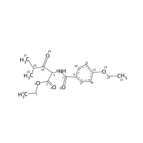 CCOC(=O)C(NC(=O)c1ccc(OCC)cc1)C(=O)C(C)C